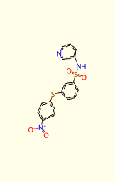 O=[N+]([O-])c1ccc(Sc2cccc(S(=O)(=O)Nc3cccnc3)c2)cc1